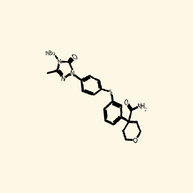 CCCCn1c(C)nn(-c2ccc(Sc3cccc(C4(C(N)=O)CCOCC4)c3)cc2)c1=O